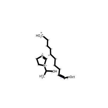 CC(O)N1C=NCC1.CCCCCCCC/C=C\CCCCCCCC(=O)O